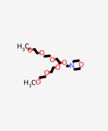 COCCOCCOCC(OCCOCCOC)OCN1CCOCC1